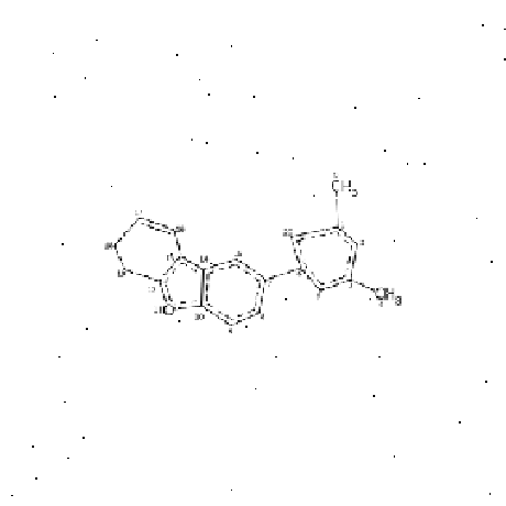 Cc1cc(C)cc(-c2ccc3oc4c(c3c2)C=CCC4)c1